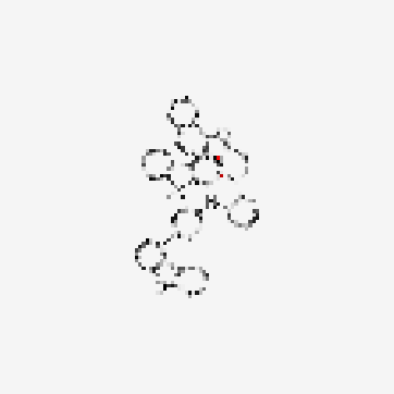 CC1(C)c2ccccc2-c2cccc(N(c3ccc(-c4cccc5oc6ccccc6c45)cc3)c3ccccc3-c3ccc4oc5c6ccccc6ccc5c4c3)c21